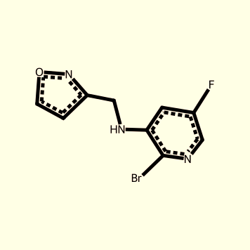 Fc1cnc(Br)c(NCc2ccon2)c1